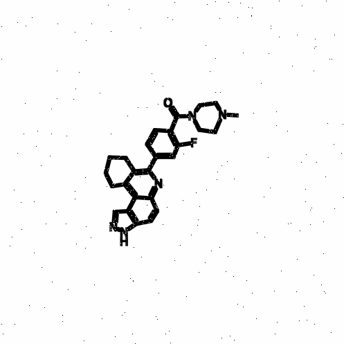 CN1CCN(C(=O)c2ccc(-c3nc4ccc5[nH]ncc5c4c4c3CCCC4)cc2F)CC1